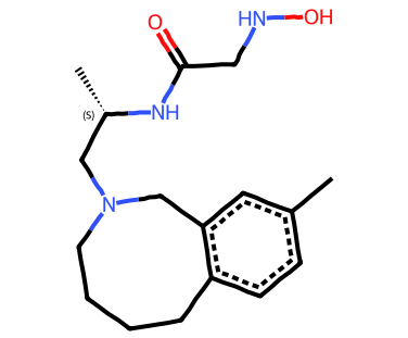 Cc1ccc2c(c1)CN(C[C@H](C)NC(=O)CNO)CCCC2